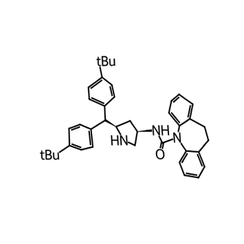 CC(C)(C)c1ccc(C(c2ccc(C(C)(C)C)cc2)[C@H]2C[C@@H](NC(=O)N3c4ccccc4CCc4ccccc43)CN2)cc1